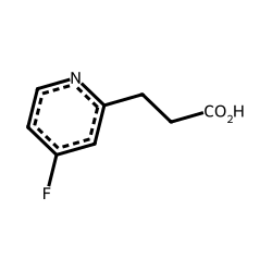 O=C(O)CCc1cc(F)ccn1